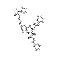 CN(C(=O)CCCOc1ccc2c(c1)CN(CC(=O)Oc1ccccc1)C(NC(=O)OCc1ccccc1)=N2)C1CCCC1